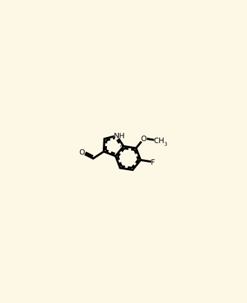 COc1c(F)ccc2c(C=O)c[nH]c12